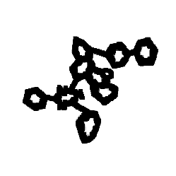 c1ccc(-c2ccc(-c3cccc4cc(-c5nc(-c6ccccc6)nc(-c6ccccc6)n5)c5c6ccccc6oc5c34)cc2)cc1